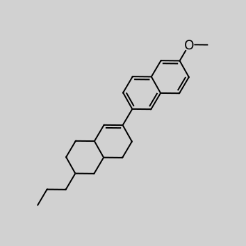 CCCC1CCC2C=C(c3ccc4cc(OC)ccc4c3)CCC2C1